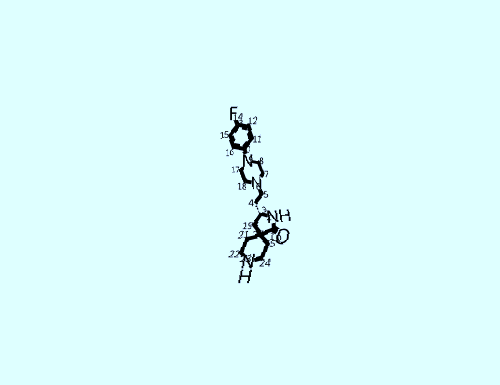 O=C1N[C@@H](CCN2CCN(c3ccc(F)cc3)CC2)CC12CCNCC2